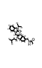 CC(=O)NCc1ccc2c(c1)nc(Cn1c(=O)n(C(C)C)c3ccccc31)n2CCC(C)C